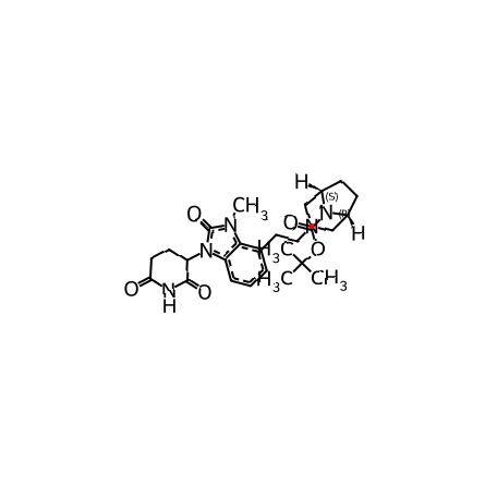 Cn1c(=O)n(C2CCC(=O)NC2=O)c2cccc(CCN3C[C@H]4CC[C@@H](C3)N4C(=O)OC(C)(C)C)c21